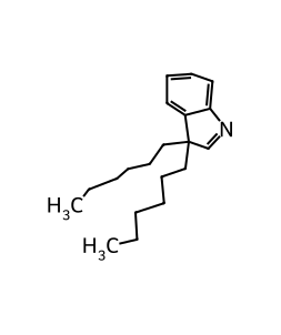 CCCCCCC1(CCCCCC)C=Nc2ccccc21